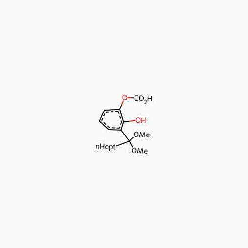 CCCCCCCC(OC)(OC)c1cccc(OC(=O)O)c1O